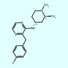 C[C@H]1C[C@H](Nc2nccnc2Cc2ccc(F)cc2)CCN1C